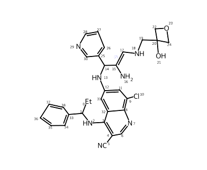 CCC(Nc1c(C#N)cnc2c(Cl)cc(NC(/C(N)=C/NCC3(O)COC3)c3cccnc3)cc12)c1ccccc1